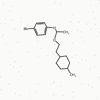 CCC(C)c1ccc(OC(C)OCCC2CCC(C)CC2)cc1